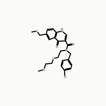 COCCOCCN(Cc1ccc(Cl)cc1)C(=O)c1c[nH]c2ccc(CSC)cc2c1=O